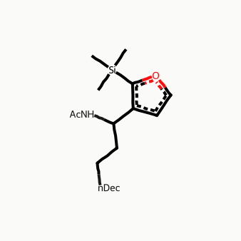 CCCCCCCCCCCCC(NC(C)=O)c1ccoc1[Si](C)(C)C